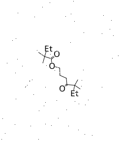 CCC(C)(C)C(=O)CCCOC(=O)C(C)(C)CC